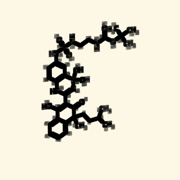 CC(C)CCC1(C)C(=O)C(C2=NS(O)(O)c3cc(NS(=O)(=O)NCCNC(=O)OC(C)(C)C)ccc3N2)=C(O)c2ccccc21